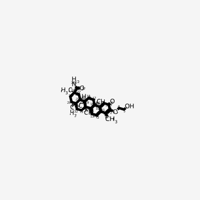 CC1=C(OCCO)C(=O)C=C2C1=CC=C1[C@@]2(C)CC[C@@]2(C)[C@@H]3C[C@](C)(C(N)=O)CC[C@]3(C)CC[C@]12C